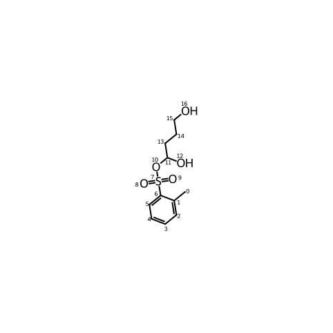 Cc1ccccc1S(=O)(=O)OC(O)CCCO